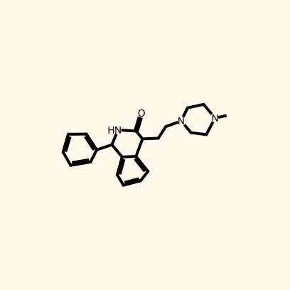 CN1CCN(CCC2C(=O)NC(c3ccccc3)c3ccccc32)CC1